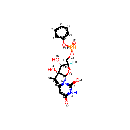 C=C(C)[C@]1(O)[C@H](n2ccc(=O)[nH]c2=O)O[C@](F)(CO[PH](=O)Oc2ccccc2)[C@H]1O